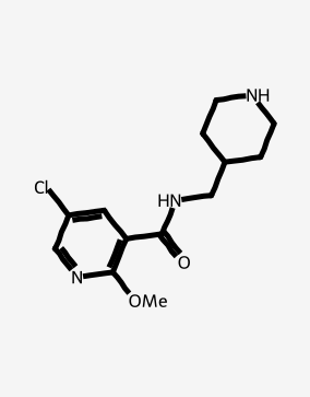 COc1ncc(Cl)cc1C(=O)NCC1CCNCC1